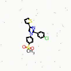 CS(=O)(=O)c1ccc(-n2cc(-c3cccs3)nc2-c2ccc(Cl)cc2)cc1